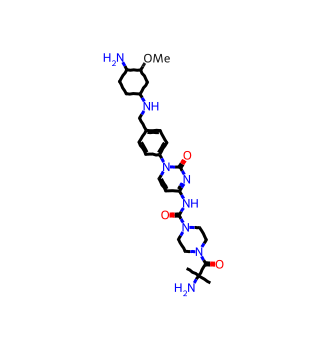 COC1CC(NCc2ccc(-n3ccc(NC(=O)N4CCN(C(=O)C(C)(C)N)CC4)nc3=O)cc2)CCC1N